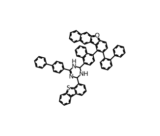 c1ccc(-c2ccc(C3=NC(c4cccc5c4sc4ccccc45)NC(c4ccc(-c5c(-c6ccccc6-c6ccccc6)ccc6oc7cc8ccccc8cc7c56)c5ccccc45)N3)cc2)cc1